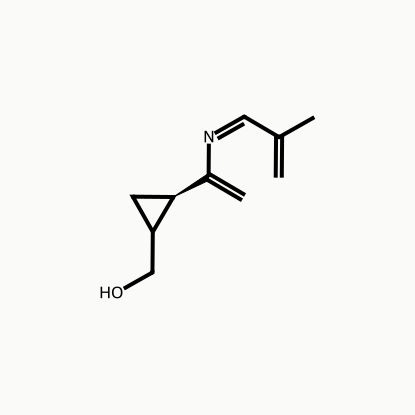 C=C(C)/C=N\C(=C)[C@@H]1CC1CO